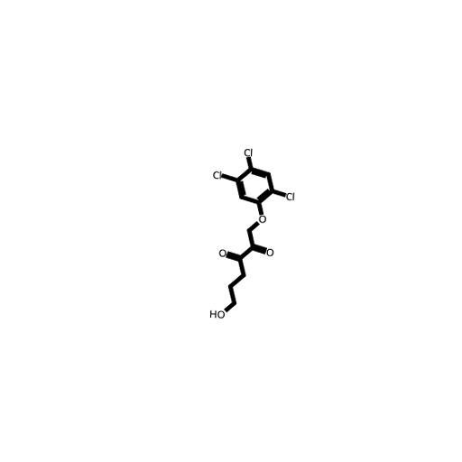 O=C(CCCO)C(=O)COc1cc(Cl)c(Cl)cc1Cl